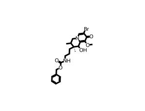 COc1c2n(cc(Br)c1=O)CC(C)[C@](C)(CCCNC(=O)OCc1ccccc1)C2O